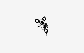 CCC(NS(=O)(=O)c1ccc(F)cc1)P(=O)(Oc1ccccc1)Oc1ccccc1